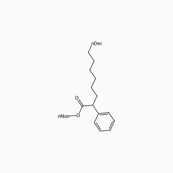 CCCCCCCCCCCCCCCCC(C(=O)OCCCCCCCCC)c1ccccc1